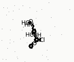 C[C@@H](CCc1ccc(NCc2cc(OCc3ccccc3)cc(C(C)(C)Cl)c2)c(O)c1)NC(=O)O